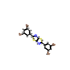 Brc1cc(Br)cc(-c2nc3sc(-c4cc(Br)cc(Br)c4)nc3s2)c1